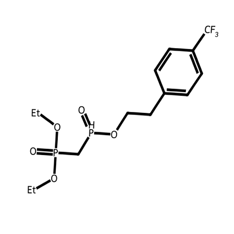 CCOP(=O)(C[PH](=O)OCCc1ccc(C(F)(F)F)cc1)OCC